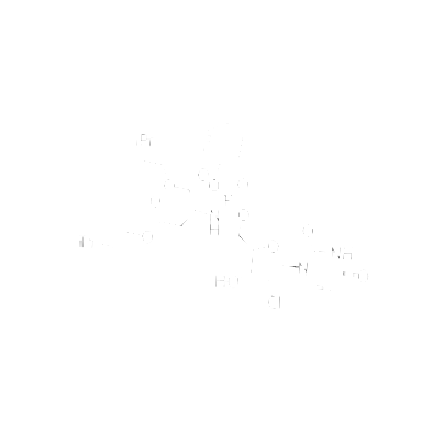 CC(C)CCOC(=O)C[C@H](NP(=O)(OC[C@H]1O[C@@H](n2ccc(=O)[nH]c2=O)[C@H](Cl)C1O)Oc1ccccc1)C(=O)OCCC(C)C